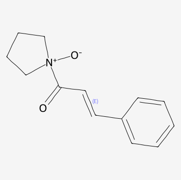 O=C(/C=C/c1ccccc1)[N+]1([O-])CCCC1